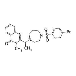 CC(c1nc2ccccc2c(=O)n1C)N1CCCN(S(=O)(=O)c2ccc(Br)cc2)CC1